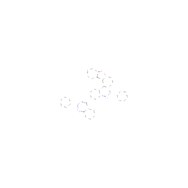 c1ccc(-c2nc(-c3ccc4c(c3)nc(-c3ccccc3)c3ccc5oc6ccccc6c5c34)c3ccccc3n2)cc1